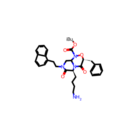 CCC(C)OC(=O)N1O[C@H](Cc2ccccc2)C(=O)N2C1CN(CCc1cccc3ccccc13)C(=O)[C@@H]2CCCCN